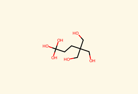 OCC(CO)(CO)CCC(O)(O)O